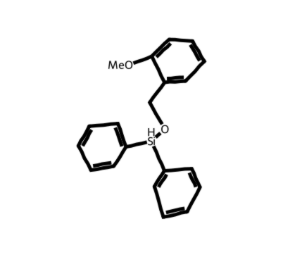 COc1ccccc1CO[SiH](c1ccccc1)c1ccccc1